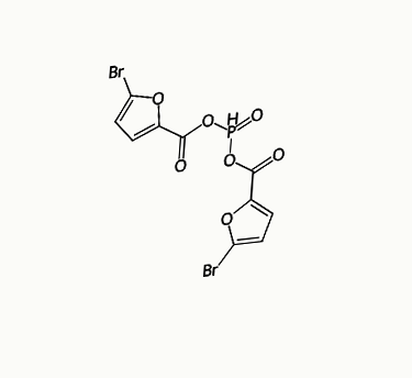 O=C(O[PH](=O)OC(=O)c1ccc(Br)o1)c1ccc(Br)o1